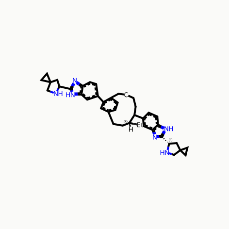 CC[C@@H]1CCc2ccc(c(-c3ccc4nc(C5CC6(CC6)CN5)[nH]c4c3)c2)CCCCC1c1ccc2[nH]c([C@@H]3CC4(CC4)CN3)nc2c1